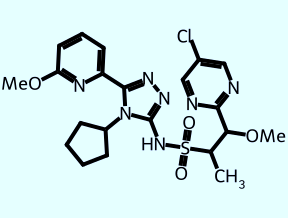 COc1cccc(-c2nnc(NS(=O)(=O)C(C)C(OC)c3ncc(Cl)cn3)n2C2CCCC2)n1